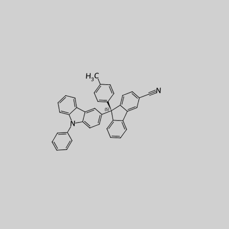 Cc1ccc([C@]2(c3ccc4c(c3)c3ccccc3n4-c3ccccc3)c3ccccc3-c3cc(C#N)ccc32)cc1